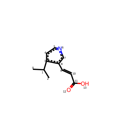 CC(C)c1ccncc1/C=C/C(=O)O